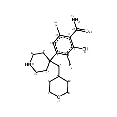 Cc1c(F)c(C2(CC3CCOCC3)CCNCC2)cc(F)c1C(N)=O